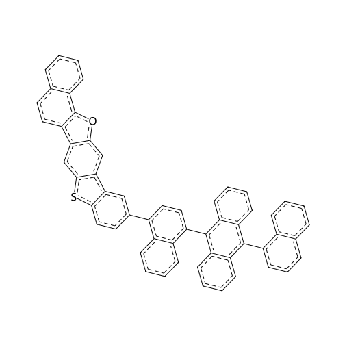 c1ccc2c(-c3c4ccccc4c(-c4ccc(-c5ccc6sc7cc8c(cc7c6c5)oc5c6ccccc6ccc85)c5ccccc45)c4ccccc34)cccc2c1